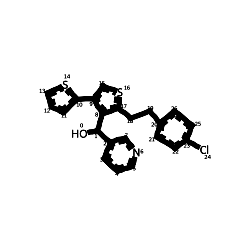 OC(c1cccnc1)c1c(-c2cccs2)csc1CCc1ccc(Cl)cc1